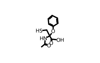 CC(=O)NC(CS)(Oc1ccccc1)C(=O)O